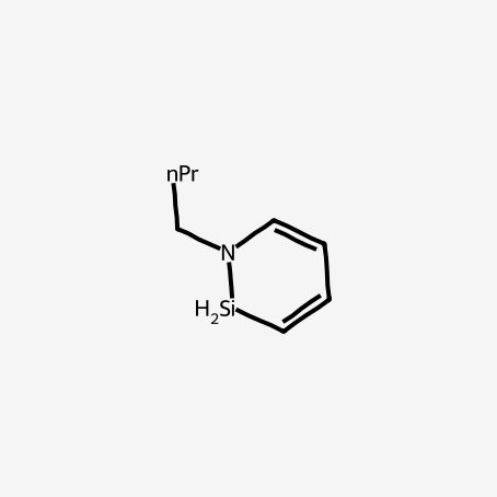 CCCCN1C=CC=C[SiH2]1